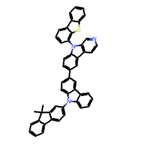 CC1(C)c2ccccc2-c2ccc(-n3c4ccccc4c4cc(-c5ccc6c(c5)c5ccncc5n6-c5cccc6c5sc5ccccc56)ccc43)cc21